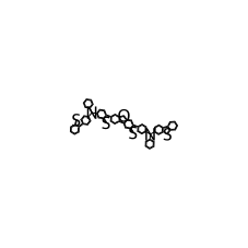 c1ccc(N(c2ccc3c(c2)sc2ccccc23)c2ccc3c(c2)sc2cc4c(cc23)oc2cc3c(cc24)sc2cc(N(c4ccccc4)c4ccc5c(c4)sc4ccccc45)ccc23)cc1